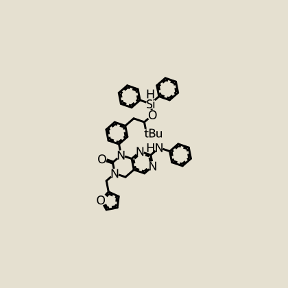 CC(C)(C)C(Cc1cccc(N2C(=O)N(Cc3ccco3)Cc3cnc(Nc4ccccc4)nc32)c1)O[SiH](c1ccccc1)c1ccccc1